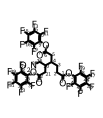 O=C(CCC(CC(=O)Oc1c(F)c(F)c(F)c(F)c1F)C(CC(=O)Oc1c(F)c(F)c(F)c(F)c1F)C[N+](=O)[O-])Oc1c(F)c(F)c(F)c(F)c1F